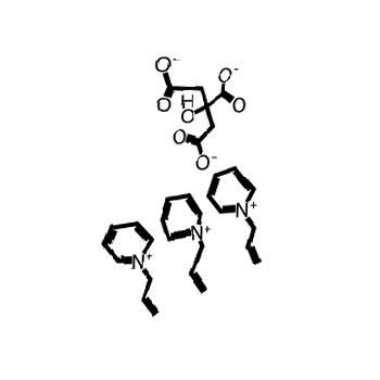 C=CC[n+]1ccccc1.C=CC[n+]1ccccc1.C=CC[n+]1ccccc1.O=C([O-])CC(O)(CC(=O)[O-])C(=O)[O-]